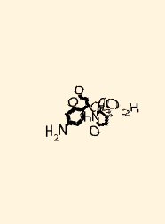 Cc1cc(=O)oc2cc(N)ccc12.O=C1CC[C@@H](C(=O)O)N1